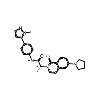 C[C@H](C(=O)Nc1ccc(-c2ccnn2C)cc1)n1ccc2cc(N3CCCC3)ccc2c1=O